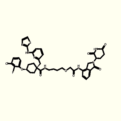 O=C1CCC(N2Cc3c(NC(=O)COCCCCNC(=O)[C@]4(Cc5cccc(Nc6nccs6)n5)CC[C@@H](Oc5cccc(Cl)c5F)CC4)cccc3C2=O)C(=O)N1